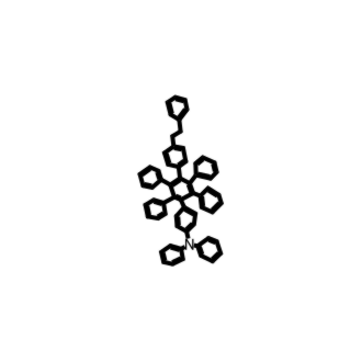 c1ccc(CCc2ccc(-c3c(-c4ccccc4)c(-c4ccccc4)c(-c4ccc(N(c5ccccc5)c5ccccc5)cc4)c(-c4ccccc4)c3-c3ccccc3)cc2)cc1